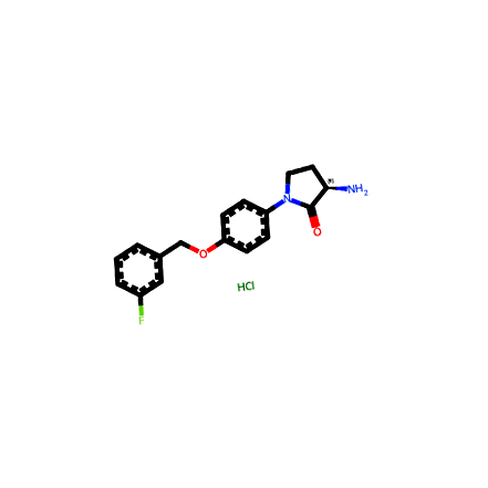 Cl.N[C@@H]1CCN(c2ccc(OCc3cccc(F)c3)cc2)C1=O